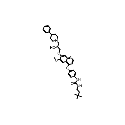 COc1cc2c(Oc3ccc(NC(=O)NCCC(C)(C)C)cc3)ccnc2cc1OCC(O)CN1CCC(c2ccccc2)CC1